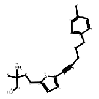 Cc1ccc(CCCC#Cc2ccc(CCC(C)(N)CO)s2)cc1